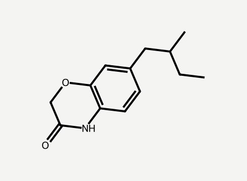 CCC(C)Cc1ccc2c(c1)OCC(=O)N2